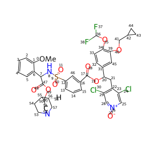 COc1ccccc1C(NS(=O)(=O)c1cccc(C(=O)OC(Cc2c(Cl)c[n+]([O-])cc2Cl)c2ccc(OC(F)F)c(OCC3CC3)c2)c1)C(=O)O[C@H]1CN2CCC1CC2